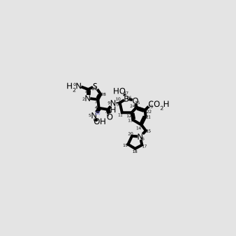 Nc1nc(/C(=N/O)C(=O)N[C@H]2Cc3cc(CN4CCCC4)cc(C(=O)O)c3OB2O)cs1